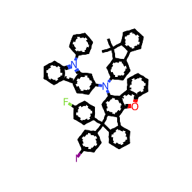 CC1(C)c2ccccc2-c2ccc(N(c3ccc4c5ccccc5n(-c5ccccc5)c4c3)c3cc4c(c5oc6ccccc6c35)-c3ccccc3C4(c3ccc(F)cc3)c3ccc(I)cc3)cc21